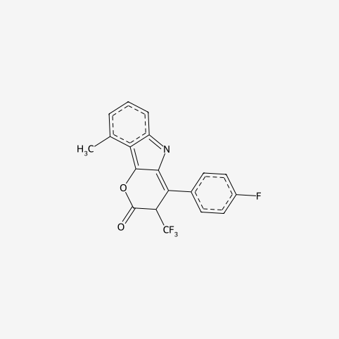 Cc1cccc2c1=C1OC(=O)C(C(F)(F)F)C(c3ccc(F)cc3)=C1N=2